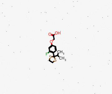 CC(C)C1(c2ccc(OCC(=O)O)cc2F)SCCS1